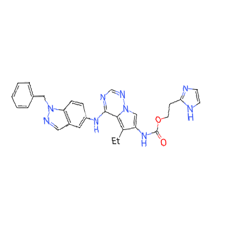 CCc1c(NC(=O)OCCc2ncc[nH]2)cn2ncnc(Nc3ccc4c(cnn4Cc4ccccc4)c3)c12